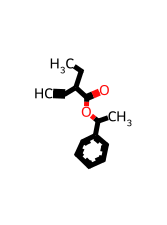 C#CC(CC)C(=O)OC(C)c1ccccc1